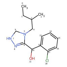 CCC(C)CN1CNN=C1C(O)c1ccccc1Cl